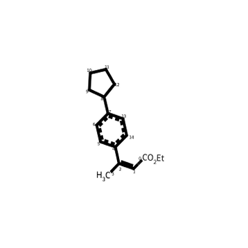 CCOC(=O)/C=C(/C)c1ccc(C2CCCC2)cc1